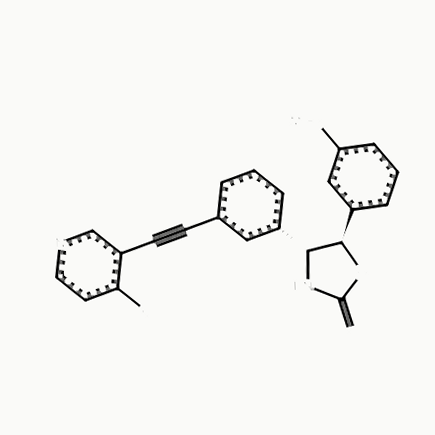 COc1cccc([C@H]2OC(=O)N[C@@H]2c2cccc(C#Cc3cnccc3Cl)c2)c1